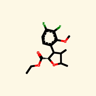 CCOC(=O)[C@H]1OC(C)C(C)C1c1ccc(F)c(F)c1OC